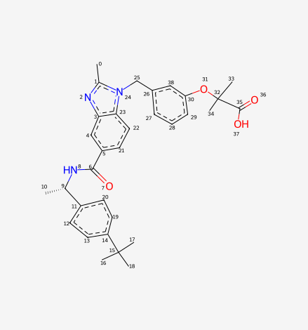 Cc1nc2cc(C(=O)N[C@@H](C)c3ccc(C(C)(C)C)cc3)ccc2n1Cc1cccc(OC(C)(C)C(=O)O)c1